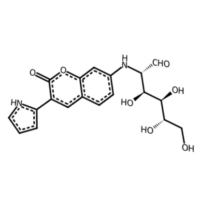 O=C[C@@H](Nc1ccc2cc(-c3ccc[nH]3)c(=O)oc2c1)[C@H](O)[C@@H](O)[C@@H](O)CO